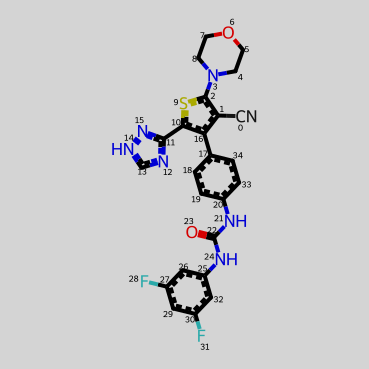 N#Cc1c(N2CCOCC2)sc(-c2nc[nH]n2)c1-c1ccc(NC(=O)Nc2cc(F)cc(F)c2)cc1